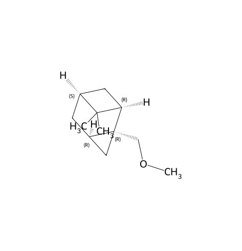 COC[C@]12C[C@H]1C[C@H]1C[C@@H]2C1(C)C